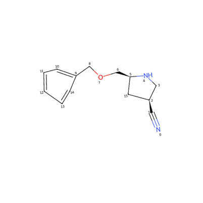 N#C[C@@H]1CN[C@H](COCc2ccccc2)C1